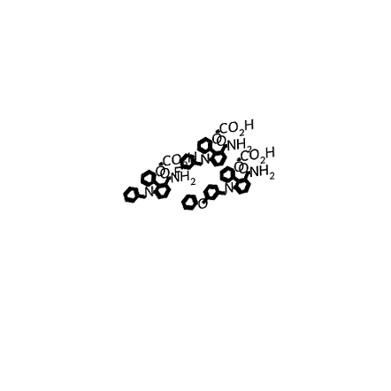 NC(=O)c1cccc2c1c1c(OCC(=O)O)cccc1n2Cc1cccc(F)c1.NC(=O)c1cccc2c1c1c(OCC(=O)O)cccc1n2Cc1cccc(Oc2ccccc2)c1.NC(=O)c1cccc2c1c1c(OCC(=O)O)cccc1n2Cc1ccccc1